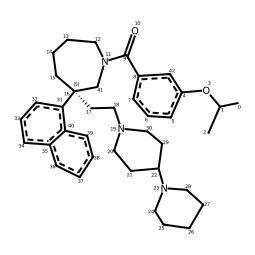 CC(C)Oc1cccc(C(=O)N2CCCC[C@](CCN3CCC(N4CCCCC4)CC3)(c3cccc4ccccc34)C2)c1